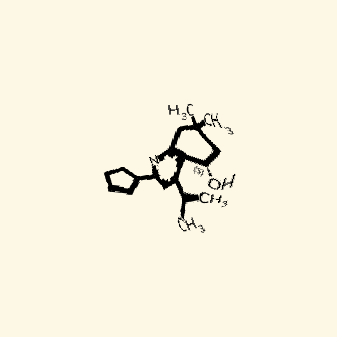 CC(C)c1[c]c(C2CCCC2)nc2c1[C@@H](O)CC(C)(C)C2